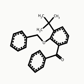 CC(C)(C)c1cccc(C(=O)c2ccccc2)c1OCc1ccccc1